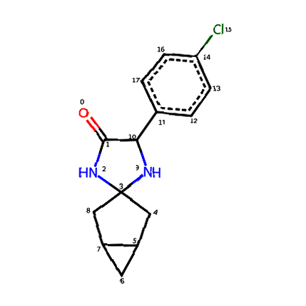 O=C1NC2(CC3CC3C2)NC1c1ccc(Cl)cc1